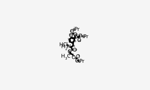 CC(C)OC(=O)OC[C@@H](C)OC(=O)[C@@H](N)Cc1ccc(OC(=O)OC(C)C)c(OC(=O)OC(C)C)c1.Cl